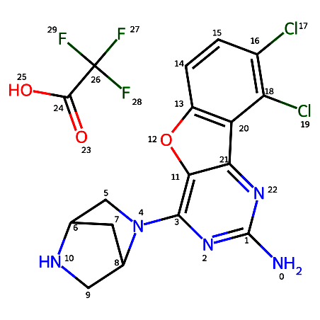 Nc1nc(N2CC3CC2CN3)c2oc3ccc(Cl)c(Cl)c3c2n1.O=C(O)C(F)(F)F